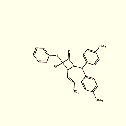 CCC1(Sc2ccccc2)C(=O)N(C(c2ccc(OC)cc2)c2ccc(OC)cc2)C1C=C[N+](=O)[O-]